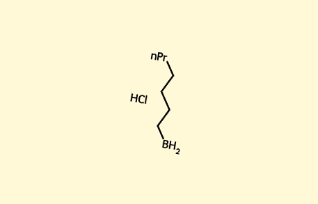 BCCCCCCC.Cl